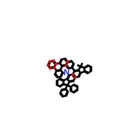 CC1(C)c2ccccc2-c2cccc(-c3ccccc3N(c3cccc(-c4ccccc4)c3-c3ccccc3-c3ccccc3)c3cccc4c3-c3ccccc3C4(c3ccccc3)c3ccccc3)c21